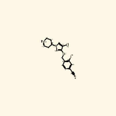 N#Cc1ccc(COc2nn(C3CCNCC3)cc2Cl)c(F)c1